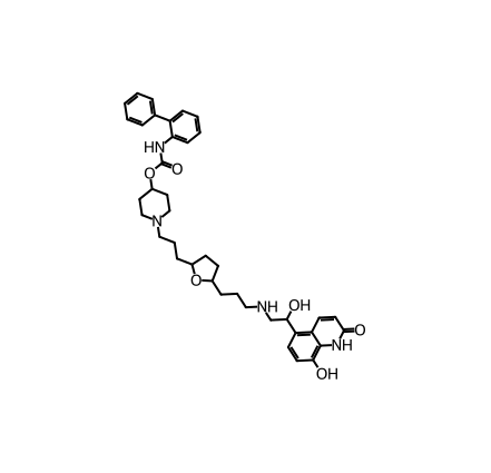 O=C(Nc1ccccc1-c1ccccc1)OC1CCN(CCCC2CCC(CCCNCC(O)c3ccc(O)c4[nH]c(=O)ccc34)O2)CC1